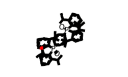 CC(C)c1cccc(C(C)C)c1P(=O)(c1ccc(P(=O)(c2c(C(C)C)cccc2C(C)C)c2c(C(C)C)cccc2C(C)C)cc1)c1c(C(C)C)cccc1C(C)C